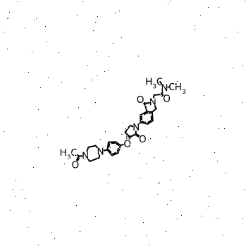 CC(=O)N1CCN(c2ccc(O[C@@H]3CCN(c4ccc5c(c4)C(=O)N(CC(=O)N(C)C)C5)C3=O)cc2)CC1